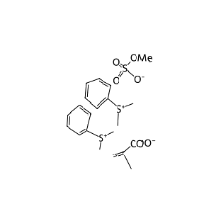 C=C(C)C(=O)[O-].COS(=O)(=O)[O-].C[S+](C)c1ccccc1.C[S+](C)c1ccccc1